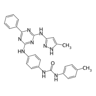 Cc1ccc(NC(=O)Nc2ccc(Nc3nc(Nc4cc(C)[nH]n4)nc(-c4ccccc4)n3)cc2)cc1